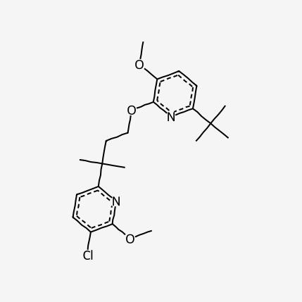 COc1ccc(C(C)(C)C)nc1OCCC(C)(C)c1ccc(Cl)c(OC)n1